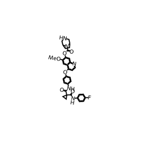 COc1cc2c(Oc3ccc(NC(=O)C4(C(=O)Nc5ccc(F)cc5)CC4)cc3)ccnc2cc1OC(=O)N1C2CCC1CNC2